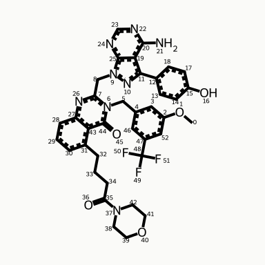 COc1cc(Cn2c(Cn3nc(-c4ccc(O)cc4)c4c(N)ncnc43)nc3cccc(CCCC(=O)N4CCOCC4)c3c2=O)cc(C(F)(F)F)c1